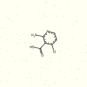 Nc1nccc(Cl)c1C(=O)O